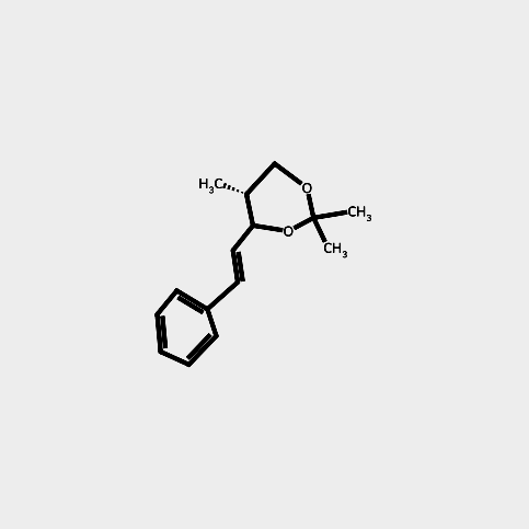 C[C@@H]1COC(C)(C)OC1/C=C/c1ccccc1